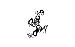 Cn1cncc1CN1CC(N(CC2CCN(C(=O)c3ccco3)CC2)S(=O)(=O)c2ccccn2)Cc2cc(C#N)ccc21